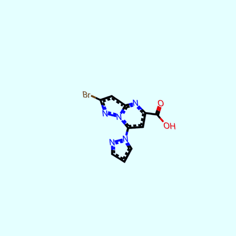 O=C(O)c1cc(-n2cccn2)n2nc(Br)cc2n1